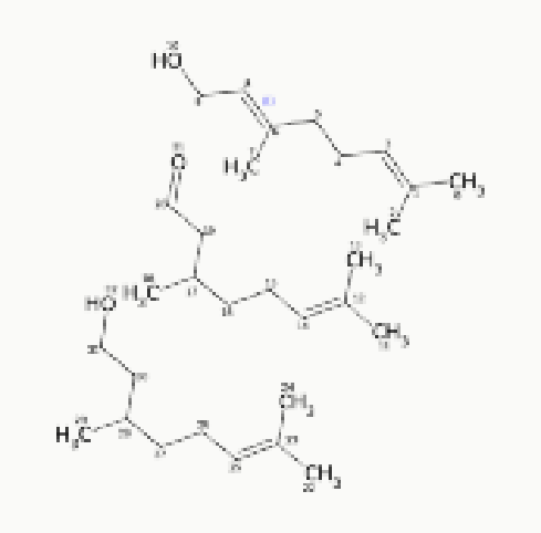 CC(C)=CCC/C(C)=C/CO.CC(C)=CCCC(C)CC=O.CC(C)=CCCC(C)CCO